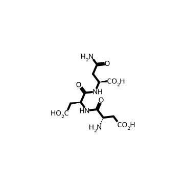 NC(=O)C[C@H](NC(=O)[C@H](CC(=O)O)NC(=O)[C@@H](N)CC(=O)O)C(=O)O